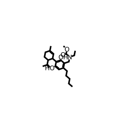 C=C(C)C1CCC(C)=CC1c1c(O)cc(CCCCC)c(CN(CC)C(=O)OC)c1O